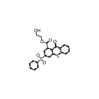 O=C(OCCO)c1cc(S(=O)(=O)c2ccccc2)cc2sc3ccccc3c(=O)c12